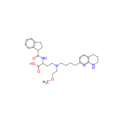 COCCN(CCCCc1ccc2c(n1)NCCC2)CCC(NC(=O)C1CCc2ccccc21)C(=O)O